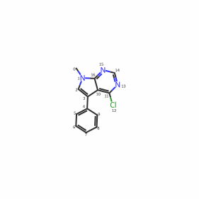 Cn1cc(-c2ccccc2)c2c(Cl)ncnc21